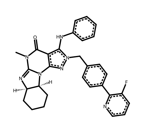 CN1C(=O)c2c(nn(Cc3ccc(-c4ncccc4F)cc3)c2Nc2ccccc2)N2C1=N[C@@H]1CCCC[C@@H]12